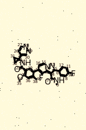 CNC(=O)c1c(-c2ccc(F)cc2)nn2ccc(-c3cc(C(=O)NC4(c5ccnnc5)CC4)c(OC)cc3C)c(F)c12